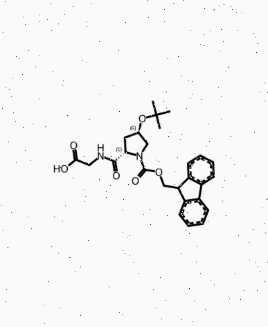 CC(C)(C)O[C@@H]1C[C@@H](C(=O)NCC(=O)O)N(C(=O)OCC2c3ccccc3-c3ccccc32)C1